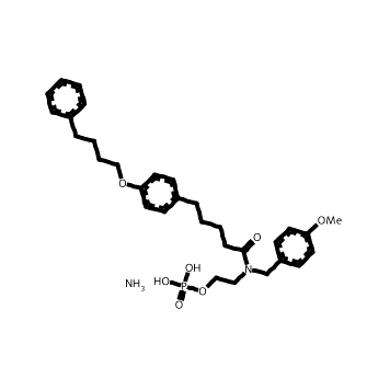 COc1ccc(CN(CCOP(=O)(O)O)C(=O)CCCCc2ccc(OCCCCc3ccccc3)cc2)cc1.N